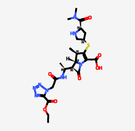 CCOC(=O)c1nnnn1CC(=O)N[C@H](C)[C@H]1C(=O)N2C(C(=O)O)=C(S[C@@H]3CN[C@H](C(=O)N(C)C)C3)[C@H](C)[C@H]12